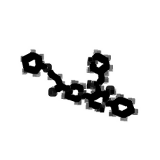 O=C(CCOc1ccccc1)N1CCN(c2cnn(-c3ccccc3)c(=O)c2NCc2cccnc2)CC1